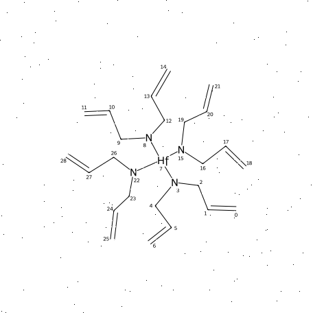 C=CC[N](CC=C)[Hf]([N](CC=C)CC=C)([N](CC=C)CC=C)[N](CC=C)CC=C